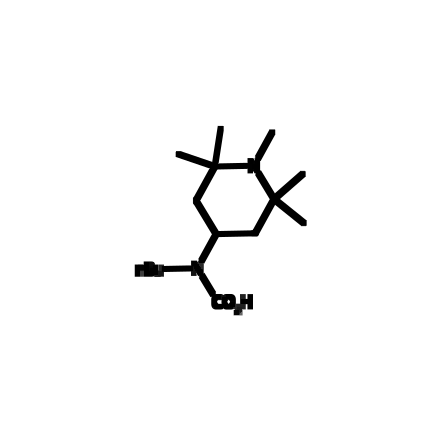 CCCCN(C(=O)O)C1CC(C)(C)N(C)C(C)(C)C1